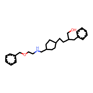 OCC(CCC1CCC(CNCCOCc2ccccc2)CC1)Cc1ccccc1